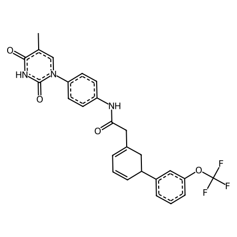 Cc1cn(-c2ccc(NC(=O)CC3=CC=CC(c4cccc(OC(F)(F)F)c4)C3)cc2)c(=O)[nH]c1=O